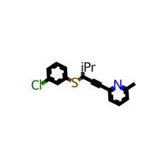 Cc1cccc(C#CC(Sc2cccc(Cl)c2)C(C)C)n1